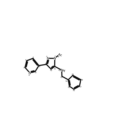 CC(=O)n1nc(-c2cccnc2)cc1NCc1ccccc1